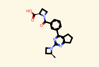 C[C@H]1CCN1c1nc2c(c(-c3cccc(C(=O)N4CC[C@@H]4C(=O)O)c3)n1)CCC2